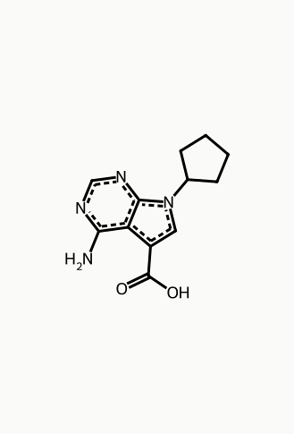 Nc1ncnc2c1c(C(=O)O)cn2C1CCCC1